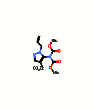 C=CCn1ncc(C(=O)OCC)c1N(C(=O)OC(C)(C)C)C(=O)OC(C)(C)C